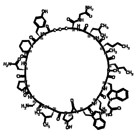 CCCC[C@H]1C(=O)N(C)[C@@H](CCCC)C(=O)N[C@@H](CC(C)C)C(=O)N[C@H](C(=O)NCC(N)=O)CCCC(=O)N[C@@H](Cc2ccc(O)cc2)C(=O)N2CCCC[C@H]2C(=O)N[C@@H](CC(N)=O)C(=O)N2CCC[C@H]2C(=O)N[C@@H](CN)C(=O)N[C@@H](CC(C)C)C(=O)N2C[C@H](O)C[C@@]23C(=O)N3[C@@H](Cc2c[nH]c3ccccc23)C(=O)N[C@@H](CCN)C(=O)N[C@@H](Cc2cn(CC(=O)O)c3ccccc23)C(=O)N1C